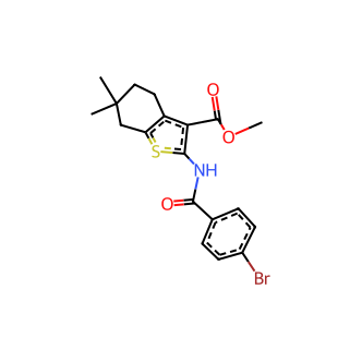 COC(=O)c1c(NC(=O)c2ccc(Br)cc2)sc2c1CCC(C)(C)C2